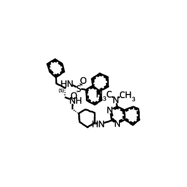 CN(C)c1nc(N[C@H]2CC[C@@H](CNC[C@H](Cc3ccccc3)NS(=O)(=O)c3cccc4ccccc34)CC2)nc2ccccc12